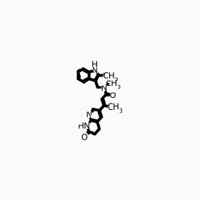 CC(=CC(=O)N(C)Cc1c(C)[nH]c2ccccc12)c1cnc2c(c1)CCC(=O)N2